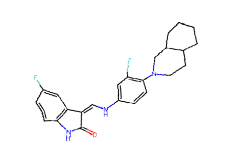 O=C1Nc2ccc(F)cc2C1=CNc1ccc(N2CCC3CCCCC3C2)c(F)c1